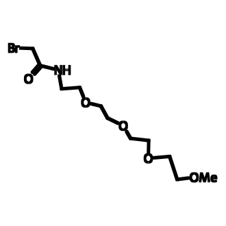 COCCOCCOCCOCCNC(=O)CBr